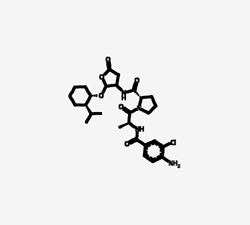 CC(C)[C@H]1CCCC[C@@H]1OC1OC(=O)CC1NC(=O)[C@@H]1CCCN1C(=O)[C@H](C)NC(=O)c1ccc(N)c(Cl)c1